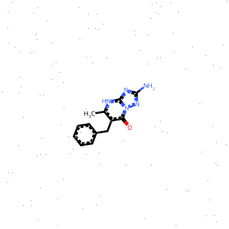 Cc1[nH]c2nc(N)nn2c(=O)c1Cc1ccccc1